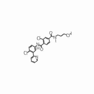 O=C(Nc1ccc(Cl)c(-c2ccccn2)c1)c1ccc(C(=O)N(I)CCCOI)cc1Cl